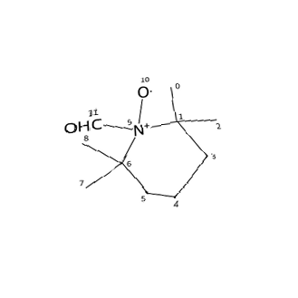 CC1(C)CCCC(C)(C)[N+]1([O])C=O